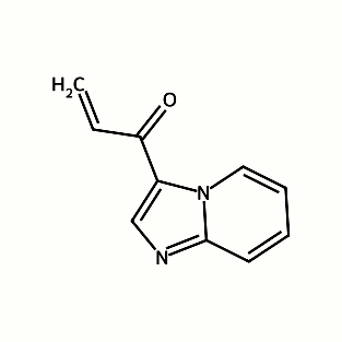 C=CC(=O)c1cnc2ccccn12